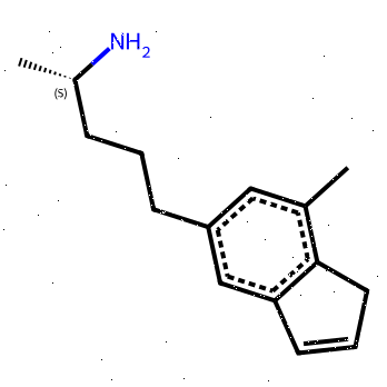 Cc1cc(CCC[C@H](C)N)cc2c1CC=C2